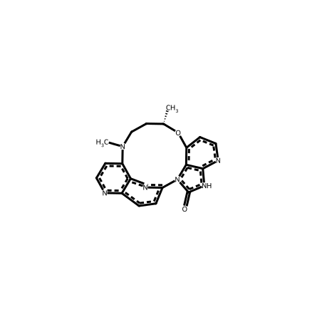 C[C@H]1CCN(C)c2ccnc3ccc(nc23)-n2c(=O)[nH]c3nccc(c32)O1